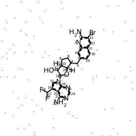 Nc1nc2cc(C[C@@H]3CC[C@@H]4[C@@H](O)[C@H](n5cc(C(F)F)c6c(N)ncnc65)O[C@H]34)ccc2cc1Br